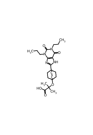 CCCn1c(=O)c2[nH]c(C34CCC(OC(C)(C)C(=O)O)(CC3)CC4)nc2n(CCC)c1=O